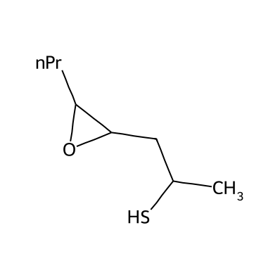 CCCC1OC1CC(C)S